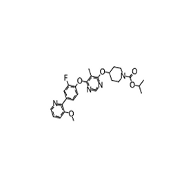 COc1cccnc1-c1ccc(Oc2ncnc(OC3CCN(C(=O)OC(C)C)CC3)c2C)c(F)c1